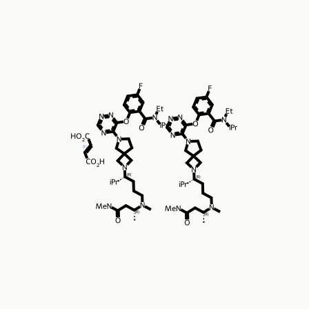 CCN(C(=O)c1cc(F)ccc1Oc1nncnc1N1CCC2(C1)CN([C@H](CCCN(C)[C@H](C)CC(=O)NC)C(C)C)C2)C(C)C.CCN(C(=O)c1cc(F)ccc1Oc1nncnc1N1CCC2(C1)CN([C@H](CCCN(C)[C@H](C)CC(=O)NC)C(C)C)C2)C(C)C.O=C(O)/C=C/C(=O)O